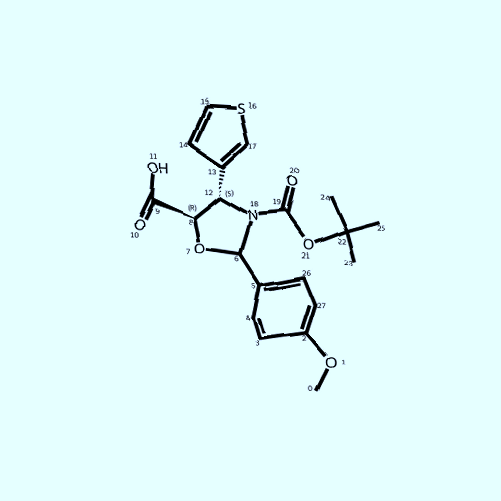 COc1ccc(C2O[C@@H](C(=O)O)[C@H](c3ccsc3)N2C(=O)OC(C)(C)C)cc1